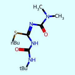 CCCCSC(=NC(=O)N(C)C)NC(=O)NC(C)(C)C